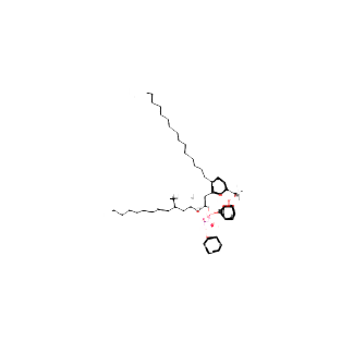 CCCCCCCCCCCCCCCc1ccc(C(C)(C)C)c(O)c1CC(C)C(CCC(CCCCCCCCC)C(C)(C)C)OP(=O)(Oc1ccccc1)Oc1ccccc1